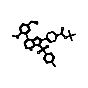 COc1ccc(C=O)cc1-c1ccnc2c1cc(C1=CCN(C(=O)OC(C)(C)C)CC1)n2S(=O)(=O)c1ccc(C)cc1